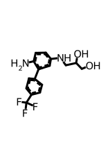 Nc1ccc(NCC(O)CO)cc1-c1ccc(C(F)(F)F)cc1